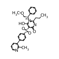 CCCc1nc(=O)c(S(=O)(=O)c2ccc(-c3cccnc3C)cc2)c(O)n1[C@@H](COC)c1ccccc1